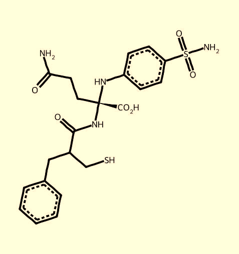 NC(=O)CC[C@@](NC(=O)C(CS)Cc1ccccc1)(Nc1ccc(S(N)(=O)=O)cc1)C(=O)O